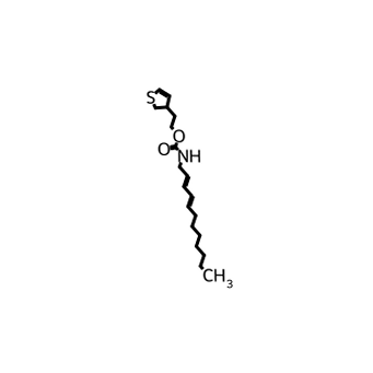 CCCCCCC/C=C/C=C/CNC(=O)OCCC1C=CSC1